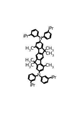 Cc1cc(N(c2cccc(C(C)C)c2)c2cccc(C(C)C)c2)cc2c1-c1cc3c(cc1C2(C)C)-c1c(C)cc(N(c2cccc(C(C)C)c2)c2cccc(C(C)C)c2)cc1C3(C)C